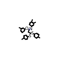 Cc1ccc(SC(C/C(=N/c2ccc(C)c(C)c2)Oc2cccc(C)c2)Sc2ccc(C)cc2)cc1